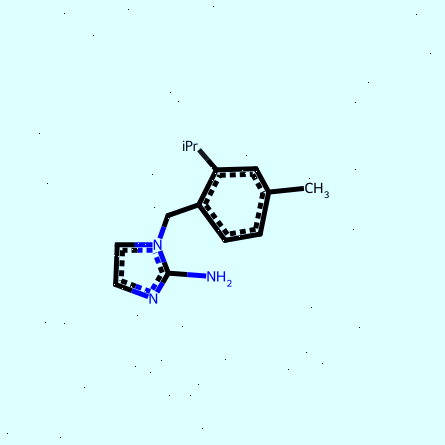 Cc1ccc(Cn2ccnc2N)c(C(C)C)c1